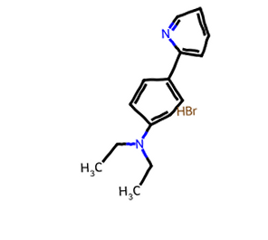 Br.CCN(CC)c1ccc(-c2ccccn2)cc1